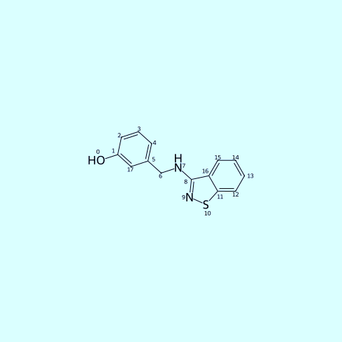 Oc1cccc(CNc2nsc3ccccc23)c1